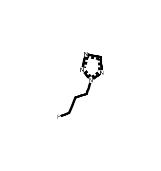 FCCCn1ncnn1